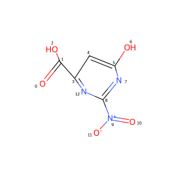 O=C(O)c1cc(O)nc([N+](=O)[O-])n1